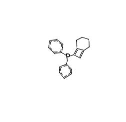 C1=C2CCCCC2=C1P(c1ccccc1)c1ccccc1